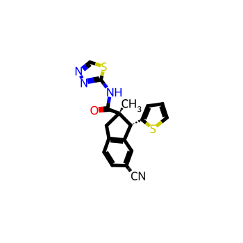 C[C@@]1(C(=O)Nc2nncs2)Cc2ccc(C#N)cc2[C@H]1c1cccs1